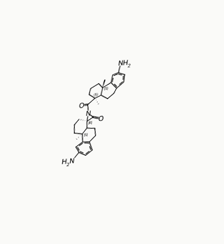 C[C@]1(C(=O)N2C(=O)[C@]23CCC[C@]2(C)c4cc(N)ccc4CCC32)CCC[C@]2(C)c3cc(N)ccc3CCC12